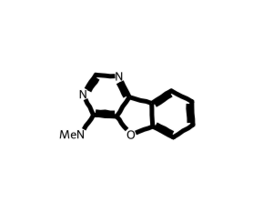 CNc1ncnc2c1oc1ccccc12